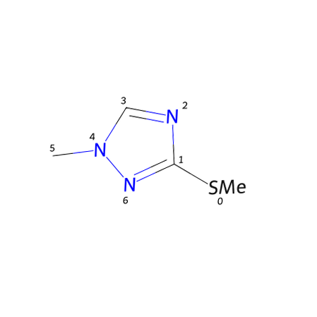 CSc1ncn(C)n1